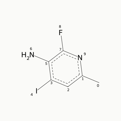 Cc1cc(I)c(N)c(F)n1